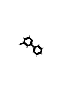 Cc1cccc(-c2ccccc2)c1